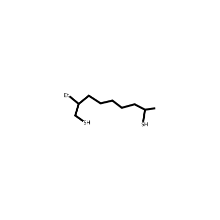 CCC(CS)CCCCCC(C)S